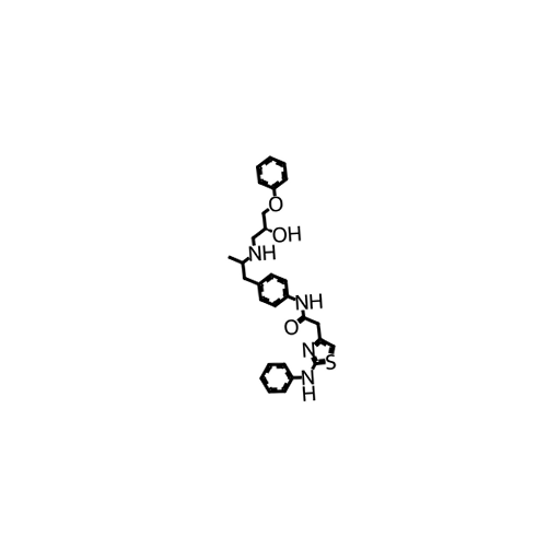 CC(Cc1ccc(NC(=O)Cc2csc(Nc3ccccc3)n2)cc1)NC[C@H](O)COc1ccccc1